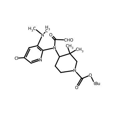 CN(C)c1cc(Cl)cnc1N(C(=O)C=O)C1CCN(C(=O)OC(C)(C)C)CC1(C)C